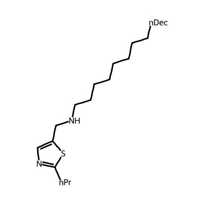 CCCCCCCCCCCCCCCCCCNCc1cnc(CCC)s1